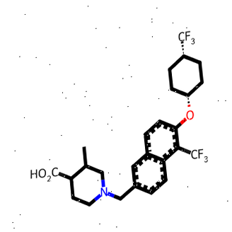 CC1CN(Cc2ccc3c(C(F)(F)F)c(O[C@H]4CC[C@@H](C(F)(F)F)CC4)ccc3c2)CCC1C(=O)O